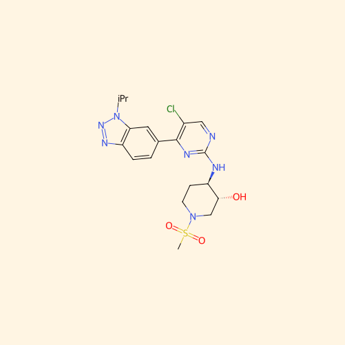 CC(C)n1nnc2ccc(-c3nc(N[C@@H]4CCN(S(C)(=O)=O)C[C@H]4O)ncc3Cl)cc21